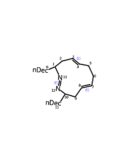 CCCCCCCCCCC1C/C=C/CC/C=C/CC(CCCCCCCCCC)/N=N/1